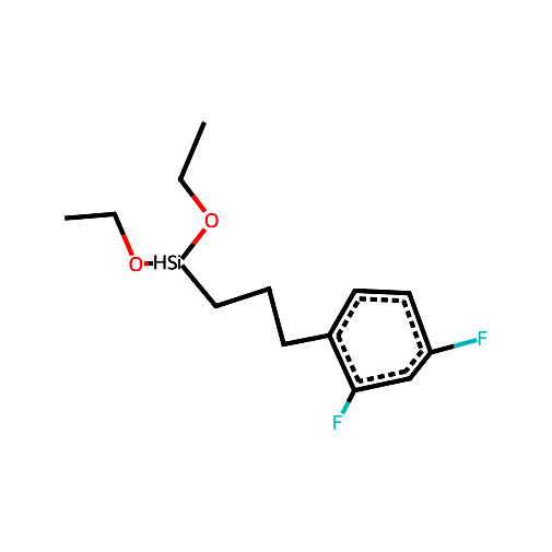 CCO[SiH](CCCc1ccc(F)cc1F)OCC